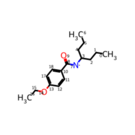 CCCC(CCC)[N]C(=O)c1ccc(OCC)cc1